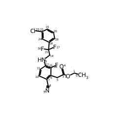 CCOC(=O)Cc1c(C#N)ccc(NCC(F)(F)c2cccc(Cl)c2)c1F